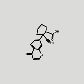 C#CC1(c2ccc3c(=O)ccoc3c2)CCCCN1C(=O)O